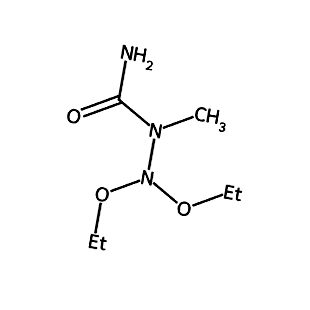 CCON(OCC)N(C)C(N)=O